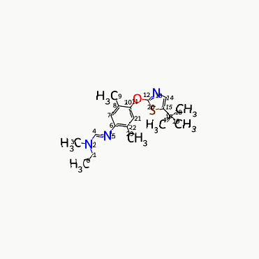 CCN(C)/C=N/c1cc(C)c(Oc2ncc(C(C)(C)C)s2)cc1C